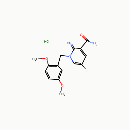 COc1ccc(OC)c(Cn2cc(Cl)cc(C(N)=O)c2=N)c1.Cl